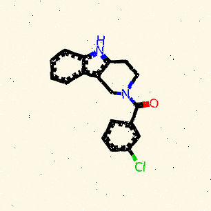 O=C(c1cccc(Cl)c1)N1CCc2[nH]c3ccccc3c2C1